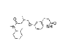 CC(COc1ccc2[nH]c(=O)ccc2c1)CC(=O)N(C)C1CCCCC1C